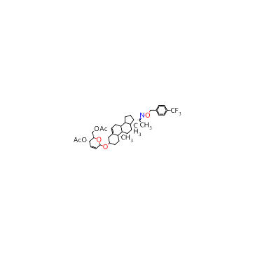 CC(=O)OC[C@H]1OC(OC2CC[C@@]3(C)C(=CCC4C3CC[C@@]3(C)C4CC[C@@H]3/C(C)=N/OCc3ccc(C(F)(F)F)cc3)C2)C=C[C@@H]1OC(C)=O